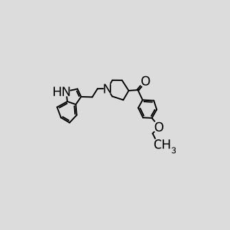 CCOc1ccc(C(=O)C2CCN(CCc3c[nH]c4ccccc34)CC2)cc1